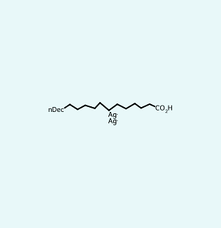 CCCCCCCCCCCCCCCCCCCCCC(=O)O.[Ag].[Ag]